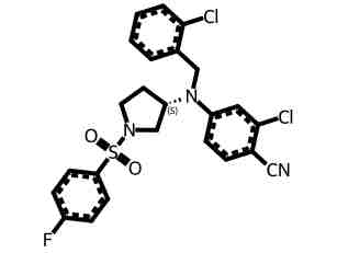 N#Cc1ccc(N(Cc2ccccc2Cl)[C@H]2CCN(S(=O)(=O)c3ccc(F)cc3)C2)cc1Cl